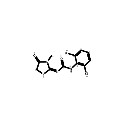 CN1C(=O)CSC1=NC(=O)Nc1c(Cl)cccc1Br